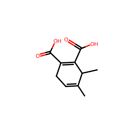 CC1=CCC(C(=O)O)=C(C(=O)O)C1C